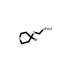 CCCCCCSC1(Br)CCSCC1